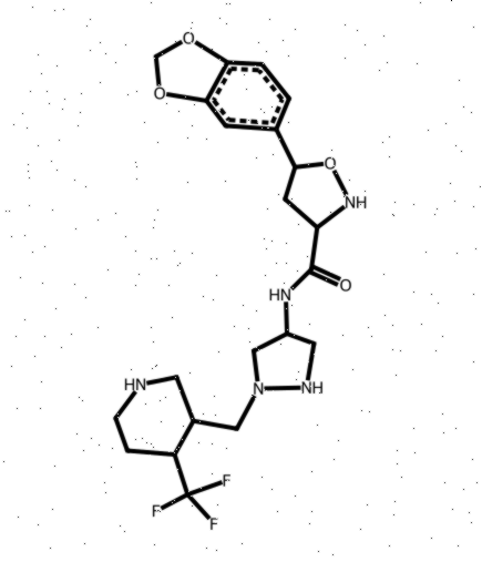 O=C(NC1CNN(CC2CNCCC2C(F)(F)F)C1)C1CC(c2ccc3c(c2)OCO3)ON1